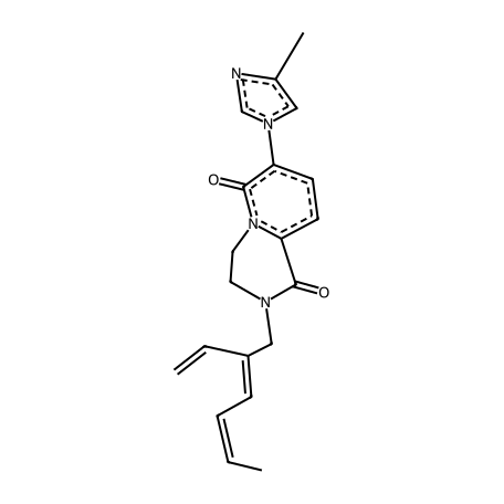 C=C/C(=C\C=C/C)CN1CCn2c(ccc(-n3cnc(C)c3)c2=O)C1=O